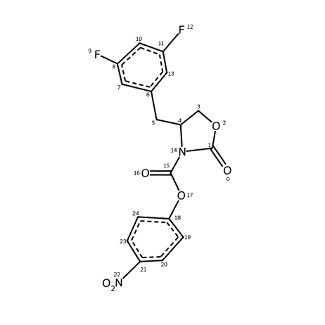 O=C1OCC(Cc2cc(F)cc(F)c2)N1C(=O)Oc1ccc([N+](=O)[O-])cc1